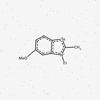 CC[n+]1c(C)[te]c2ccc(OC)cc21